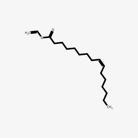 C=COC(=O)CCCCCCC/C=C\CCCCCC